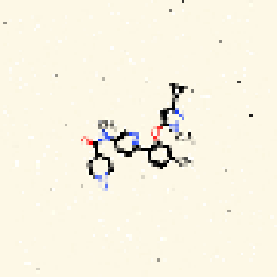 CN(C(=O)C1CCNCC1)c1ccc(-c2ccc(C#N)cc2Oc2cc(C3CC3)nn2C)nc1